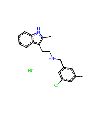 Cc1cc(Cl)cc(CNCCc2c(C)[nH]c3ccccc23)c1.Cl